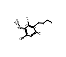 CCCCc1c(Cl)cc(Cl)c(NN)c1Cl